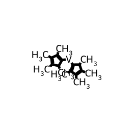 CC1=C(C)C(C)[C]([V][C]2=C(C)C(C)=C(C)C2C)=C1C